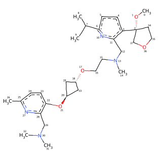 CO[C@]1(c2ccc(C(C)C)nc2CN(C)CCO[C@H]2C[C@H](Oc3ccc(C)nc3CN(C)C)C2)CCOC1